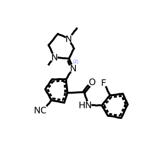 CN1CCN(C)/C(=N\c2ccc(C#N)cc2C(=O)Nc2ccccc2F)C1